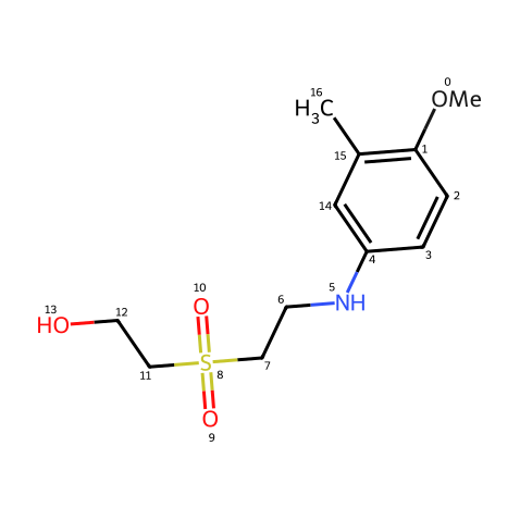 COc1ccc(NCCS(=O)(=O)CCO)cc1C